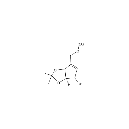 CC(C)(C)OCC1=CC(O)[C@H]2OC(C)(C)OC12